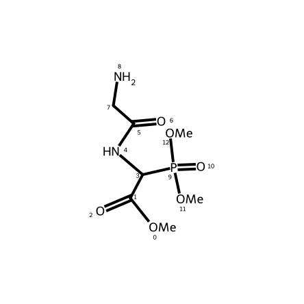 COC(=O)C(NC(=O)CN)P(=O)(OC)OC